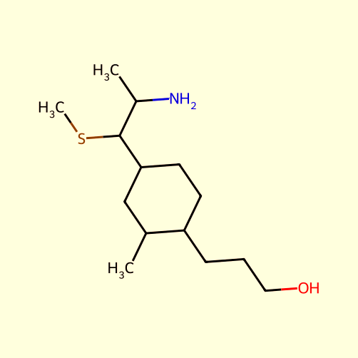 CSC(C(C)N)C1CCC(CCCO)C(C)C1